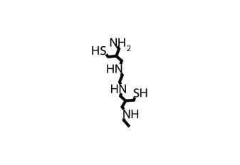 CCNCC(CS)CNCCNCC(CN)CS